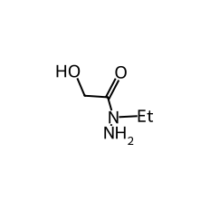 CCN(N)C(=O)CO